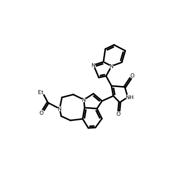 CCC(=O)N1CCc2cccc3c(C4=C(c5cnc6ccccn56)C(=O)NC4=O)cn(c23)CC1